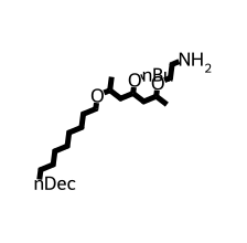 CCCCCCCCCCCCCCCCCCOC(C)CC(CC(C)OCCN)OCCCC